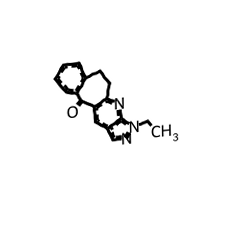 CCn1ncc2cc3c(nc21)CCc1ccccc1C3=O